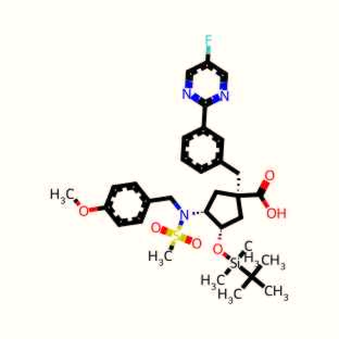 COc1ccc(CN([C@@H]2C[C@@](Cc3cccc(-c4ncc(F)cn4)c3)(C(=O)O)C[C@@H]2O[Si](C)(C)C(C)(C)C)S(C)(=O)=O)cc1